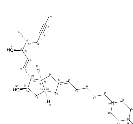 CC#CC[C@@H](C)[C@H](O)C=C[C@@H]1[C@H]2CC(=CCCCCN3CCN(C)CC3)C[C@H]2C[C@H]1O